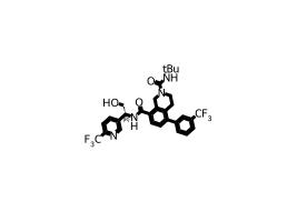 CC(C)(C)NC(=O)N1CCc2c(-c3cccc(C(F)(F)F)c3)ccc(C(=O)N[C@@H](CO)c3ccc(C(F)(F)F)nc3)c2C1